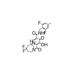 Cc1cc(F)c(CNC(=O)c2cn3c(c(O)c2=O)C(=O)N2CCC(F)(F)C[C@H]3C2)c(F)c1